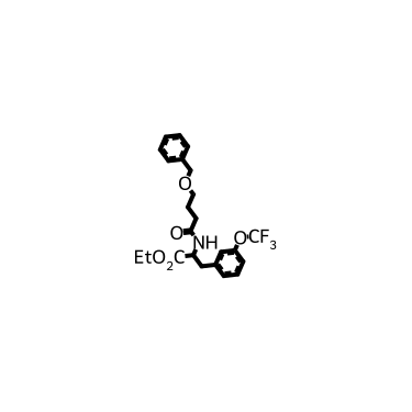 CCOC(=O)C(Cc1cccc(OC(F)(F)F)c1)NC(=O)CCCOCc1ccccc1